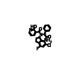 NC(=O)[C@@H](c1ccccc1)N(C(=O)c1cccnc1O)[C@@H]1CCc2c(F)cc(Cl)cc21